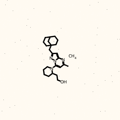 C.Cc1cc(N2CCCCC2CCO)n2nc(CC34CCCC(CCC3)C4)cc2n1